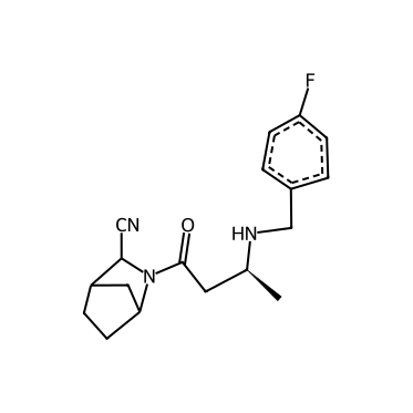 C[C@@H](CC(=O)N1C2CCC(C2)C1C#N)NCc1ccc(F)cc1